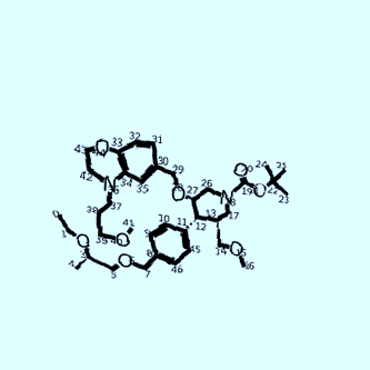 CCO[C@H](C)COCc1ccc([C@H]2[C@H](COC)CN(C(=O)OC(C)(C)C)C[C@@H]2OCc2ccc3c(c2)N(CCCOC)CCO3)cc1